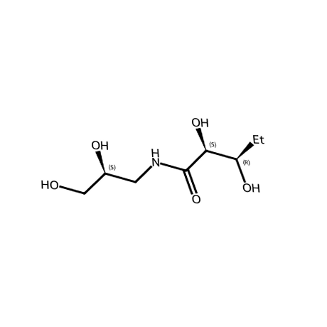 CC[C@@H](O)[C@H](O)C(=O)NC[C@H](O)CO